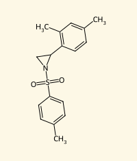 Cc1ccc(S(=O)(=O)N2CC2c2ccc(C)cc2C)cc1